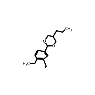 CCCC1COC(c2ccc(CC)c(F)c2)OC1